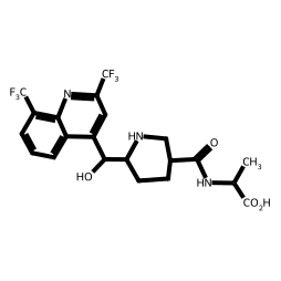 CC(NC(=O)C1CCC(C(O)c2cc(C(F)(F)F)nc3c(C(F)(F)F)cccc23)NC1)C(=O)O